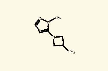 CC1CN(c2ccnn2C)C1